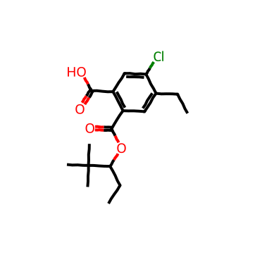 CCc1cc(C(=O)OC(CC)C(C)(C)C)c(C(=O)O)cc1Cl